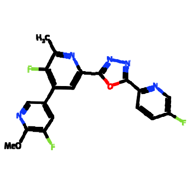 COc1ncc(-c2cc(-c3nnc(-c4ccc(F)cn4)o3)nc(C)c2F)cc1F